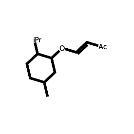 CC(=O)C=COC1CC(C)CCC1C(C)C